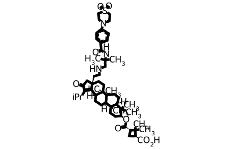 CC(C)C1=C2[C@H]3CC[C@@H]4[C@@]5(C)CC[C@H](OC(=O)[C@H]6C[C@@H](C(=O)O)C6(C)C)C(C)(C)[C@@H]5CC[C@@]4(C)[C@]3(C)CC[C@@]2(CCNCC(C)(C)NC(=O)c2ccc(N3CCS(=O)(=O)CC3)cc2)CC1=O